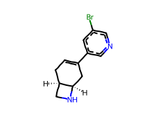 Brc1cncc(C2=CC[C@@H]3CN[C@@H]3C2)c1